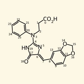 O=C(O)CCN(C1=NC(=Cc2ccc3c(c2)OCO3)C(=O)N1)c1ccccc1